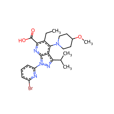 CCc1c(C(=O)O)nc2c(c(C(C)C)nn2-c2cccc(Br)n2)c1N1CCC(OC)CC1